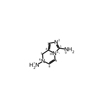 NC1=NC=C2CN(N)C=C[N+]21